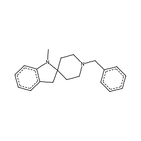 CN1c2ccccc2CC12CCN(Cc1ccccc1)CC2